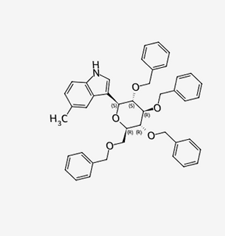 Cc1ccc2[nH]cc([C@@H]3O[C@H](COCc4ccccc4)[C@@H](OCc4ccccc4)[C@H](OCc4ccccc4)[C@H]3OCc3ccccc3)c2c1